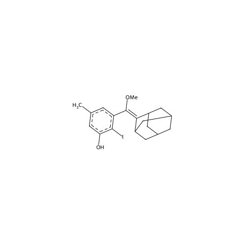 COC(=C1C2CC3CC(C2)CC1C3)c1cc(C)cc(O)c1I